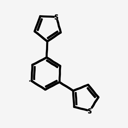 [c]1cc(-c2ccsc2)cc(-c2ccsc2)c1